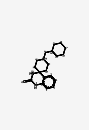 O=C1Nc2ccccc2C2(CCN(CC3CCCCC3)CC2)N1